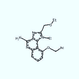 CCOCc1nc2c(N)nc3cccc(OCC(C)=O)c3c2n1CC